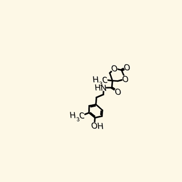 Cc1cc(CCNC(=O)C2(C)COC(=O)OC2)ccc1O